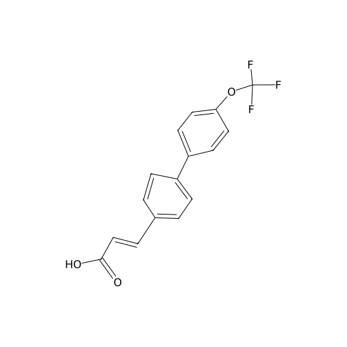 O=C(O)C=Cc1ccc(-c2ccc(OC(F)(F)F)cc2)cc1